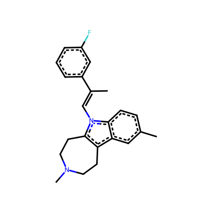 CC(=Cn1c2c(c3cc(C)ccc31)CCN(C)CC2)c1cccc(F)c1